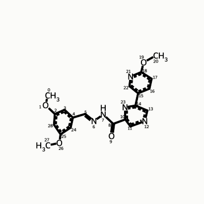 COc1cc(/C=N/NC(=O)c2cncc(-c3ccc(OC)nc3)n2)cc(OC)c1